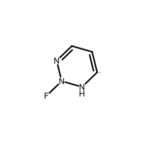 FN1N=CC=[C]N1